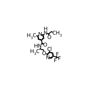 CCC(=O)Nc1cc(C(=O)N[C@H](C)COc2ncc(C(F)(F)F)cc2Cl)cc(C)n1